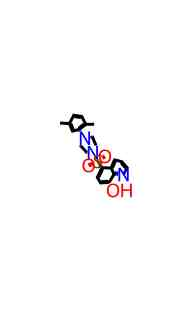 Cc1ccc(C)c(N2CCN(S(=O)(=O)c3ccc(O)c4ncccc34)CC2)c1